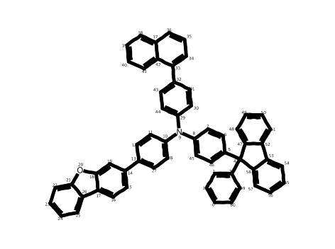 c1ccc(C2(c3ccc(N(c4ccc(-c5ccc6c(c5)oc5ccccc56)cc4)c4ccc(-c5cccc6ccccc56)cc4)cc3)c3ccccc3-c3ccccc32)cc1